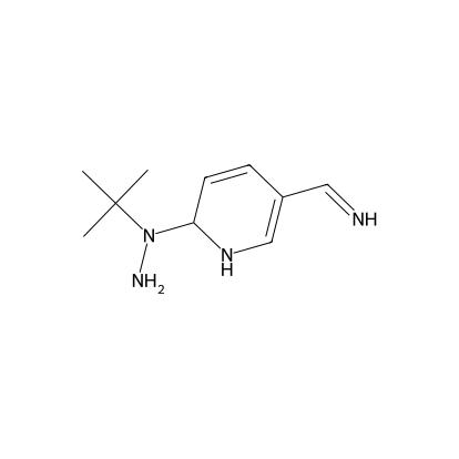 CC(C)(C)N(N)C1C=CC(C=N)=CN1